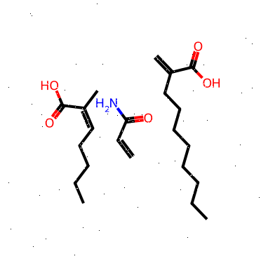 C=C(CCCCCCCC)C(=O)O.C=CC(N)=O.CCCCC=C(C)C(=O)O